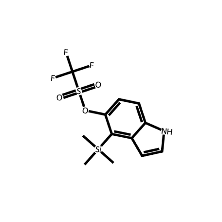 C[Si](C)(C)c1c(OS(=O)(=O)C(F)(F)F)ccc2[nH]ccc12